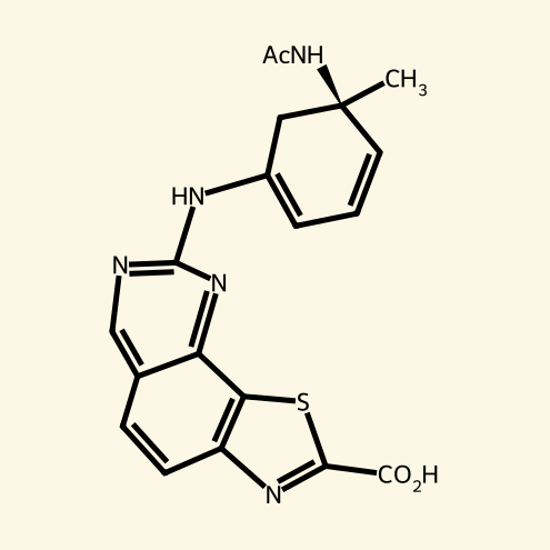 CC(=O)N[C@@]1(C)C=CC=C(Nc2ncc3ccc4nc(C(=O)O)sc4c3n2)C1